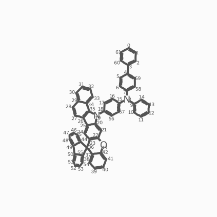 c1ccc(-c2ccc(N(c3ccccc3)c3ccc(-n4c5cc6c(cc5c5ccc7ccccc7c54)C4(c5ccccc5O6)c5ccccc5-c5ccccc54)cc3)cc2)cc1